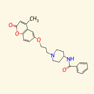 Cc1cc(=O)oc2ccc(OCCCN3CCC(NC(=O)c4ccccc4)CC3)cc12